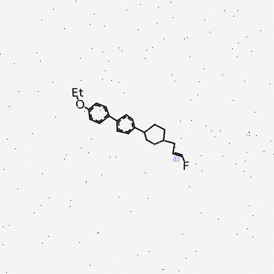 CCOc1ccc(-c2ccc(C3CCC(C/C=C/F)CC3)cc2)cc1